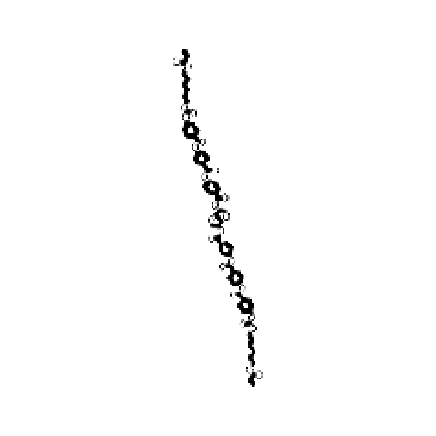 C=CC(=O)OCCCCCCOC(=O)Oc1ccc(C(=O)Oc2ccc(C(=O)Oc3ccc(C(=O)O[C@H]4COC5C4OC[C@H]5OC(=O)c4ccc(OC(=O)c5ccc(OC(=O)c6ccc(OC(=O)OCCCCCCOC(=O)C=C)cc6)cc5)cc4)cc3)cc2)cc1